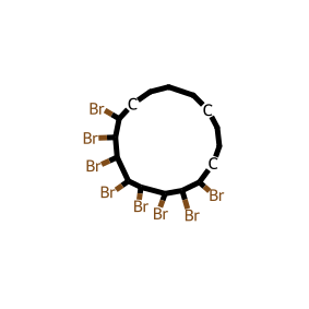 BrC1CCCCCCCCC(Br)C(Br)C(Br)C(Br)C(Br)C(Br)C1Br